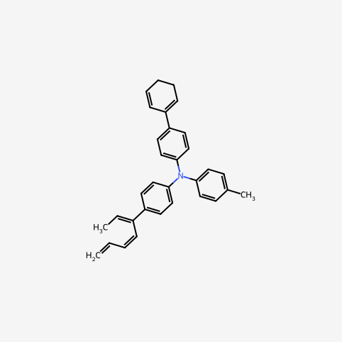 C=C/C=C\C(=C/C)c1ccc(N(c2ccc(C)cc2)c2ccc(C3=CCCC=C3)cc2)cc1